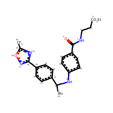 CCOC(=O)CCNC(=O)c1ccc(NC(c2ccc(-c3noc(C(F)(F)F)n3)cc2)C(C)CC)cc1